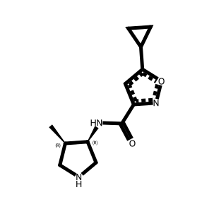 C[C@@H]1CNC[C@@H]1NC(=O)c1cc(C2CC2)on1